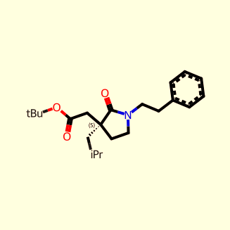 CC(C)C[C@@]1(CC(=O)OC(C)(C)C)CCN(CCc2ccccc2)C1=O